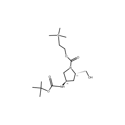 CC(C)(C)OC(=O)N[C@@H]1C[C@@H](CO)N(C(=O)OCC[Si](C)(C)C)C1